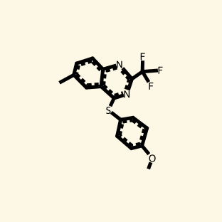 COc1ccc(Sc2nc(C(F)(F)F)nc3ccc(C)cc23)cc1